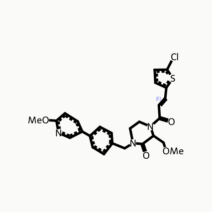 COCC1C(=O)N(Cc2ccc(-c3ccc(OC)nc3)cc2)CCN1C(=O)/C=C/c1ccc(Cl)s1